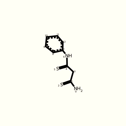 NC(=S)CC(=S)Nc1ccccc1